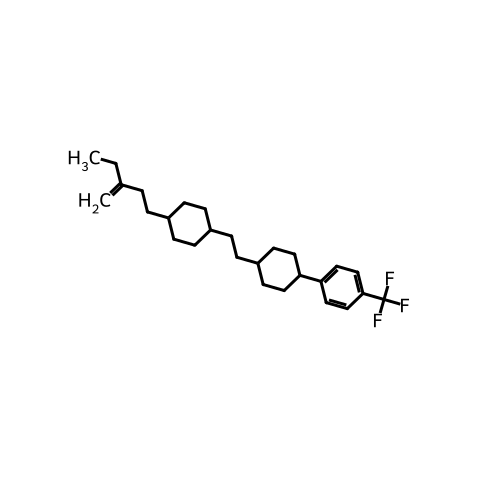 C=C(CC)CCC1CCC(CCC2CCC(c3ccc(C(F)(F)F)cc3)CC2)CC1